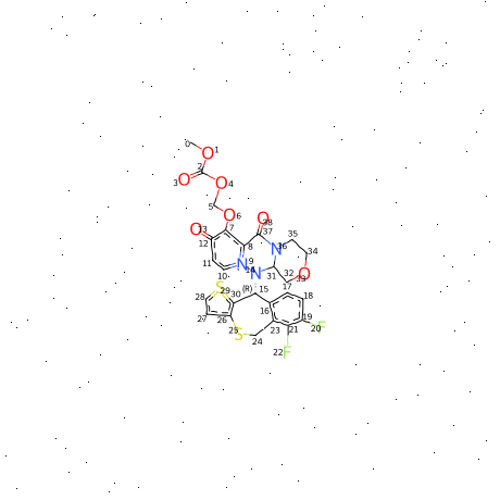 COC(=O)OCOc1c2n(ccc1=O)N([C@@H]1c3ccc(F)c(F)c3CSc3ccsc31)C1COCCN1C2=O